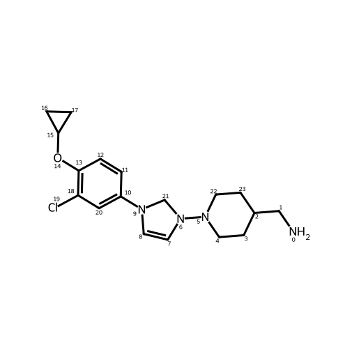 NCC1CCN(N2C=CN(c3ccc(OC4CC4)c(Cl)c3)C2)CC1